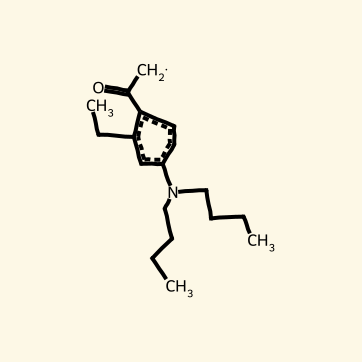 [CH2]C(=O)c1ccc(N(CCCC)CCCC)cc1CC